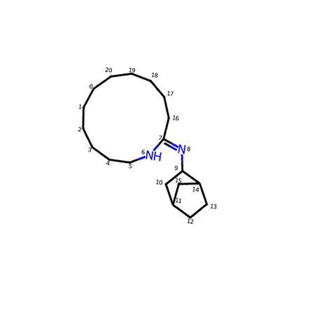 C1CCCCCNC(=NC2CC3CCC2C3)CCCCC1